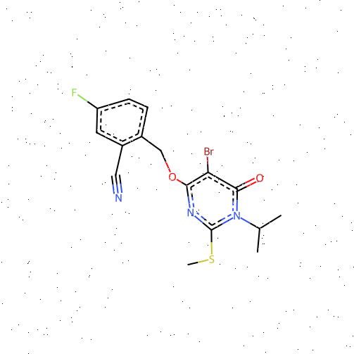 CSc1nc(OCc2ccc(F)cc2C#N)c(Br)c(=O)n1C(C)C